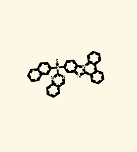 S=P(c1ccc2ccccc2c1)(c1ccc2c(c1)nc1c3ccccc3c3ccccc3n21)c1ncc2ccccc2n1